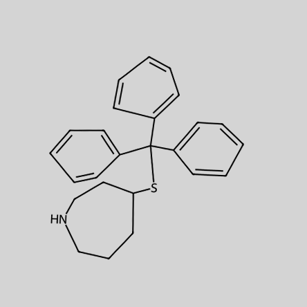 c1ccc(C(SC2CCCNCC2)(c2ccccc2)c2ccccc2)cc1